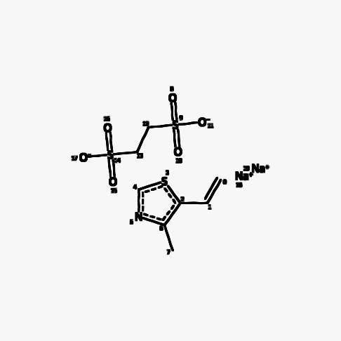 C=Cc1scnc1C.O=S(=O)([O-])CCS(=O)(=O)[O-].[Na+].[Na+]